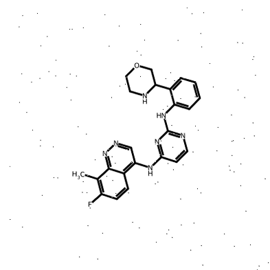 Cc1c(F)ccc2c(Nc3ccnc(Nc4ccccc4C4COCCN4)n3)cnnc12